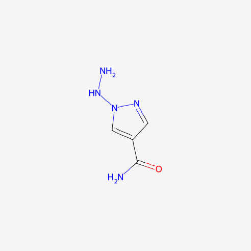 NNn1cc(C(N)=O)cn1